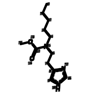 CCCCCN(CCc1c[nH]cn1)C(=O)OC